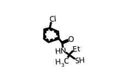 CCC(C)(S)NC(=O)c1cccc(Cl)c1